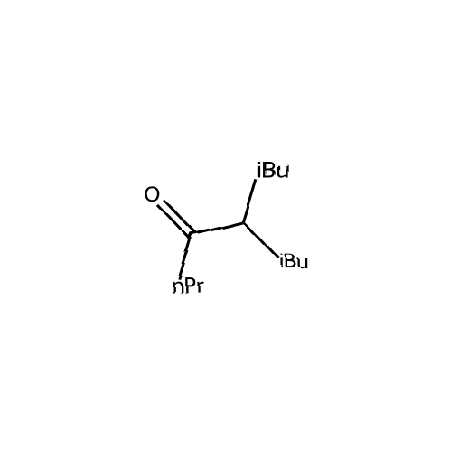 CCCC(=O)C(C(C)CC)C(C)CC